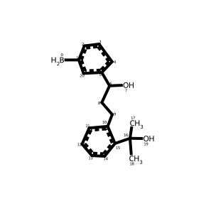 Bc1cccc(C(O)CCc2ccccc2C(C)(C)O)c1